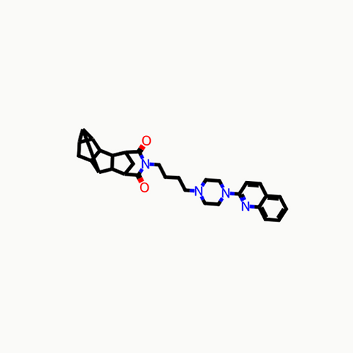 O=C1C2CC(C(=O)N1CCCCN1CCN(c3ccc4ccccc4n3)CC1)C1C2C2C3CC4C2C4C31